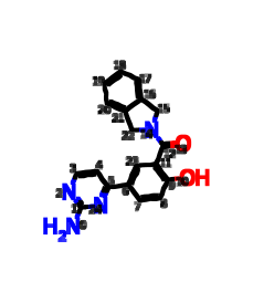 Nc1nccc(-c2ccc(O)c(C(=O)N3Cc4ccccc4C3)c2)n1